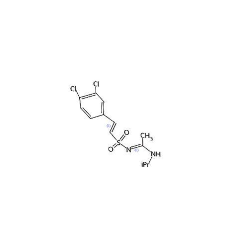 C/C(=N\S(=O)(=O)/C=C/c1ccc(Cl)c(Cl)c1)NC(C)C